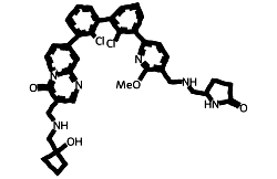 COc1nc(-c2cccc(-c3cccc(-c4ccn5c(=O)c(CNCC6(O)CCC6)cnc5c4)c3Cl)c2Cl)ccc1CNCC1CCC(=O)N1